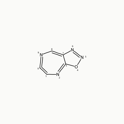 C1=CN=c2onnc2=CN=1